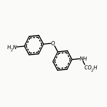 Nc1ccc(Oc2cccc(NC(=O)O)c2)cc1